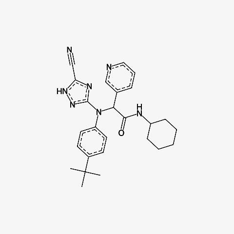 CC(C)(C)c1ccc(N(c2n[nH]c(C#N)n2)C(C(=O)NC2CCCCC2)c2cccnc2)cc1